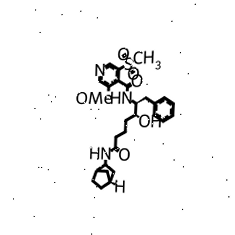 COc1cncc(S(C)(=O)=O)c1C(=O)N[C@@H](Cc1ccccc1)[C@@H](O)CCCC(=O)NC1C[C@@H]2CCC1C2